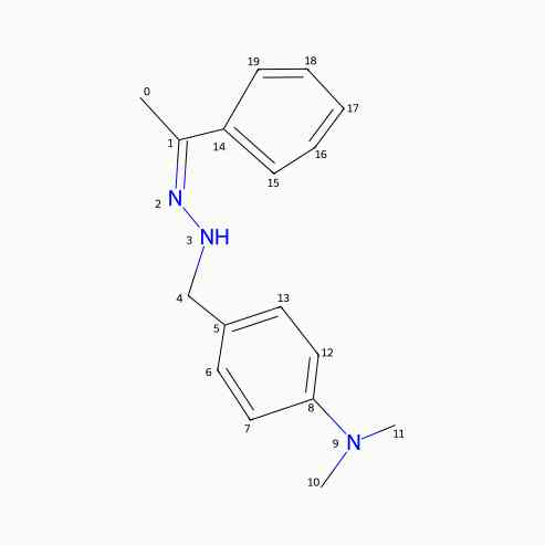 CC(=NNCc1ccc(N(C)C)cc1)c1ccccc1